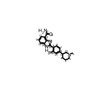 CN1CCCC(c2ccc(-c3nc4c(C(N)=O)cccc4[nH]3)c(F)c2)C1